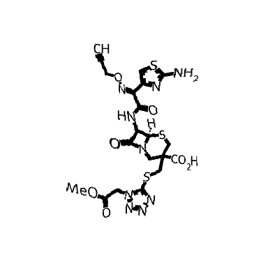 C#CCON=C(C(=O)NC1C(=O)N2CC(CSc3nnnn3CC(=O)OC)(C(=O)O)CS[C@H]12)c1csc(N)n1